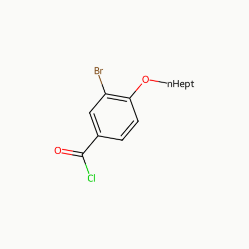 CCCCCCCOc1ccc(C(=O)Cl)cc1Br